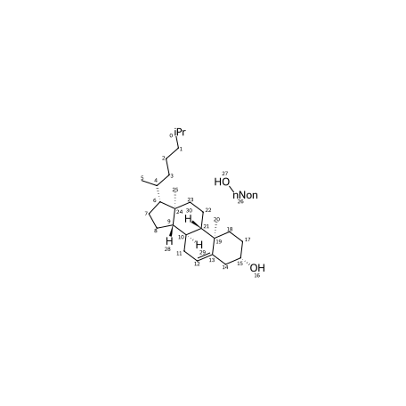 CC(C)CCCC(C)[C@H]1CC[C@H]2[C@@H]3CC=C4C[C@@H](O)CC[C@]4(C)[C@H]3CC[C@]12C.CCCCCCCCCO